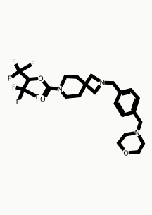 O=C(OC(C(F)(F)F)C(F)(F)F)N1CCC2(CC1)CN(Cc1ccc(CN3CCOCC3)cc1)C2